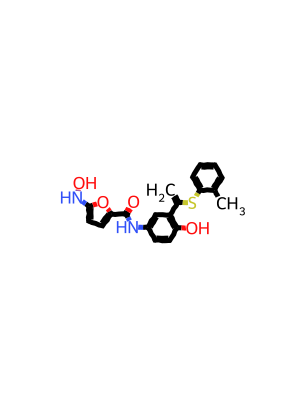 C=C(Sc1ccccc1C)c1cc(NC(=O)c2ccc(NO)o2)ccc1O